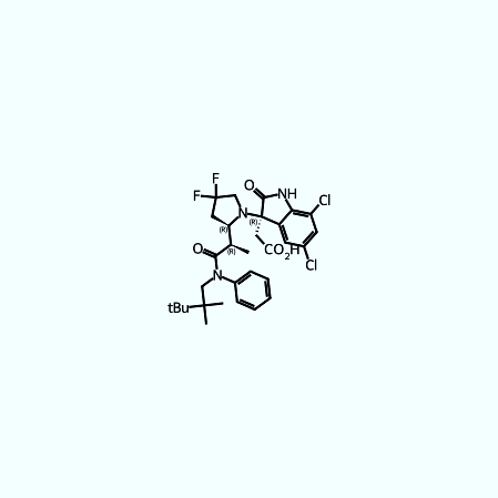 C[C@@H](C(=O)N(CC(C)(C)C(C)(C)C)c1ccccc1)[C@H]1CC(F)(F)CN1[C@@]1(CC(=O)O)C(=O)Nc2c(Cl)cc(Cl)cc21